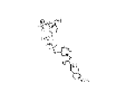 Cc1cc(O)cc(C)c1CNC(=O)Cc1cccc(CC(C)(C)NC[C@H](O)c2ccc(O)c(NS(C)(=O)=O)c2)c1